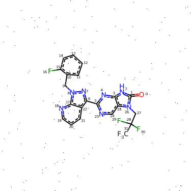 O=c1[nH]c2nc(-c3nn(Cc4ccccc4F)c4ncccc34)ncc2n1CC(F)(F)C(F)(F)F